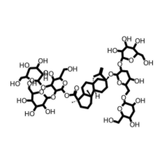 C=C1C[C@@]23CCC4[C@](C)(C(=O)OC5OC(CO)C(O)C(OC6OC(CO)C(O)C(O)C6O)C5OC5OC(CO)C(O)C(O)C5O)CCC[C@@]4(C)[C@@H]2CC[C@]1(OC1OC(COC2OC(CO)C(O)CC2O)C(O)CC1OC1OC(CO)C(O)C(O)C1O)C3